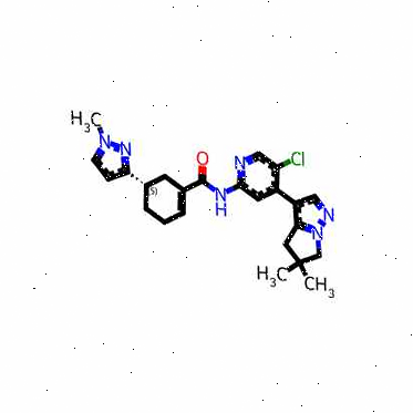 Cn1ccc([C@H]2CCC=C(C(=O)Nc3cc(-c4cnn5c4CC(C)(C)C5)c(Cl)cn3)C2)n1